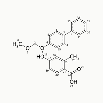 COCOc1ccc(-c2ccccc2)cc1-c1c(O)ccc(C(=O)O)c1C